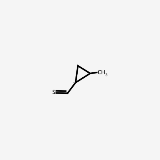 CC1C[C]1C=S